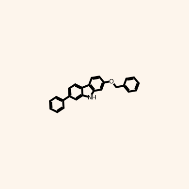 c1ccc(COc2ccc3c(c2)[nH]c2cc(-c4ccccc4)ccc23)cc1